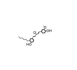 CCCCCCc1cc(/C=C/C(=O)/C=C/c2ccc(O)c(OC)c2)ccc1O